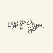 C[C@@H](Oc1cc(-n2cnc3cc(-c4ccnc(NCCC(C)(C)[C@H](N)C(=O)O)c4)ccc32)sc1C(N)=O)c1ccccc1Cl